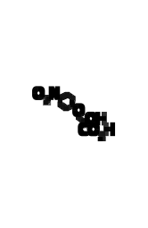 O=C(O)[C@H](O)COc1ccc([N+](=O)[O-])cc1